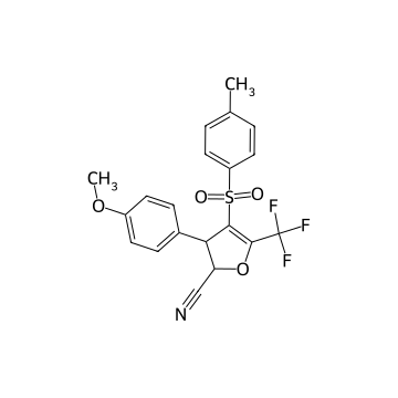 COc1ccc(C2C(S(=O)(=O)c3ccc(C)cc3)=C(C(F)(F)F)OC2C#N)cc1